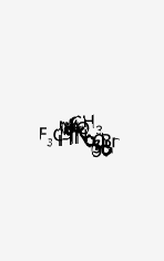 Cn1nc(C(F)(F)F)cc1C(=O)Nc1ccc(S(=O)(=O)c2ccccc2Br)cc1